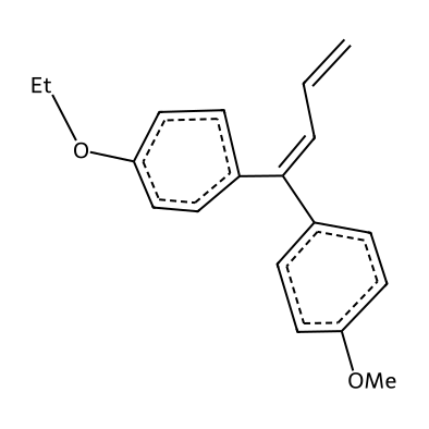 C=C/C=C(/c1ccc(OC)cc1)c1ccc(OCC)cc1